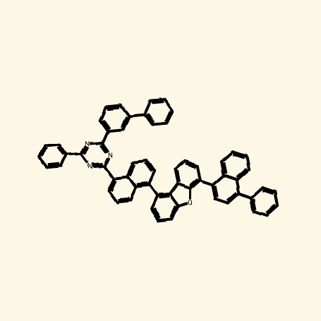 c1ccc(-c2cccc(-c3nc(-c4ccccc4)nc(-c4cccc5c(-c6cccc7oc8c(-c9ccc(-c%10ccccc%10)c%10ccccc9%10)cccc8c67)cccc45)n3)c2)cc1